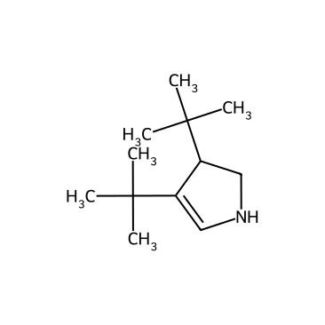 CC(C)(C)C1=CNCC1C(C)(C)C